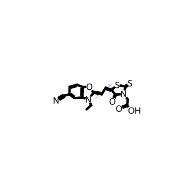 CCN1/C(=C/C=C2/SC(=S)N(CC(=O)O)C2=O)Oc2ccc(C#N)cc21